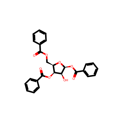 O=C(OC[C@H]1O[C@@H](OC(=O)c2ccccc2)[C@@H](O)[C@H]1OC(=O)c1ccccc1)c1ccccc1